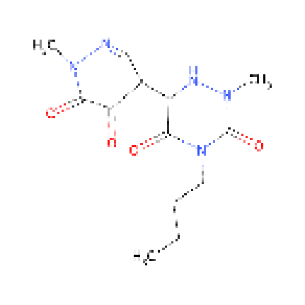 CCCCN1C(=O)C(C2C=NN(C)C(=O)C2=O)NN(C)C1=O